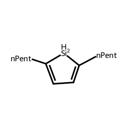 CCCCCC1=CC=C(CCCCC)[SiH2]1